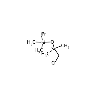 CC(C)[Si](C)(C)O[Si](C)(C)CCl